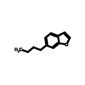 CC[CH]Cc1ccc2ccoc2c1